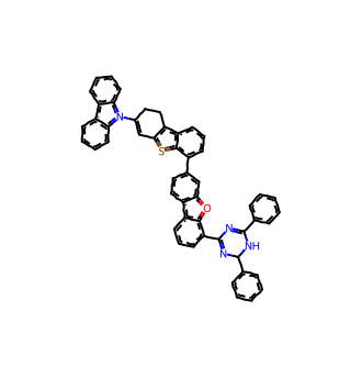 C1=C(n2c3ccccc3c3ccccc32)CCc2c1sc1c(-c3ccc4c(c3)oc3c(C5=NC(c6ccccc6)NC(c6ccccc6)=N5)cccc34)cccc21